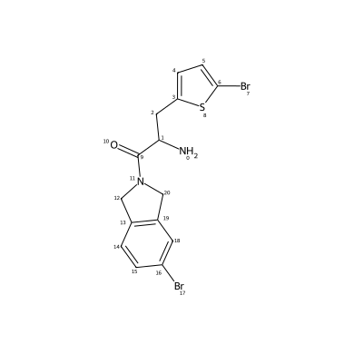 NC(Cc1ccc(Br)s1)C(=O)N1Cc2ccc(Br)cc2C1